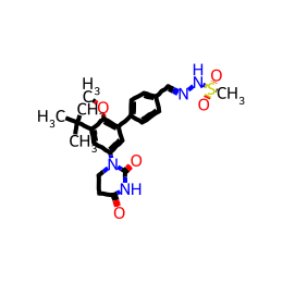 COc1c(-c2ccc(C=NNS(C)(=O)=O)cc2)cc(N2CCC(=O)NC2=O)cc1C(C)(C)C